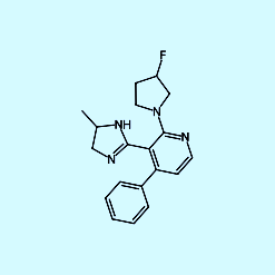 CC1CN=C(c2c(-c3ccccc3)ccnc2N2CCC(F)C2)N1